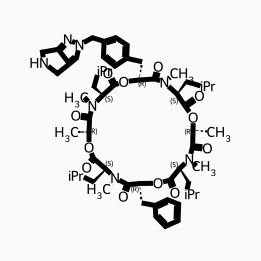 CC(C)C[C@H]1C(=O)O[C@H](Cc2ccc(Cn3cc4c(n3)CNC4)cc2)C(=O)N(C)[C@@H](CC(C)C)C(=O)O[C@H](C)C(=O)N(C)[C@@H](CC(C)C)C(=O)O[C@H](Cc2ccccc2)C(=O)N(C)[C@@H](CC(C)C)C(=O)O[C@H](C)C(=O)N1C